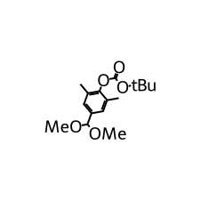 COC(OC)c1cc(C)c(OC(=O)OC(C)(C)C)c(C)c1